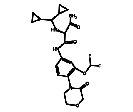 NC(=O)[C@H](NC(C1CC1)C1CC1)C(=O)Nc1ccc(N2CCOCC2=O)c(OC(F)F)c1